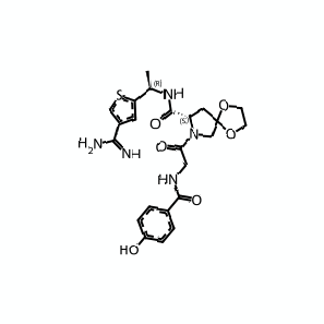 C[C@@H](NC(=O)[C@@H]1CC2(CN1C(=O)CNC(=O)c1ccc(O)cc1)OCCO2)c1cc(C(=N)N)cs1